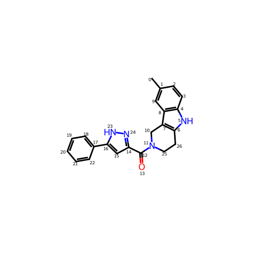 Cc1ccc2[nH]c3c(c2c1)CN(C(=O)c1cc(-c2ccccc2)[nH]n1)CC3